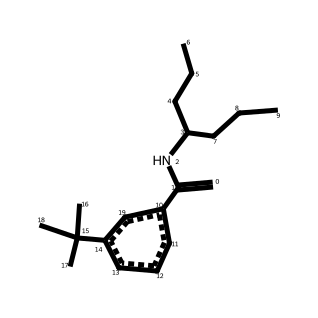 C=C(NC(CCC)CCC)c1cccc(C(C)(C)C)c1